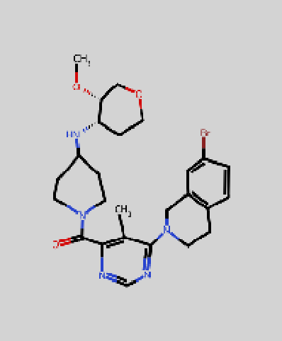 CO[C@@H]1COCC[C@@H]1NC1CCN(C(=O)c2ncnc(N3CCc4ccc(Br)cc4C3)c2C)CC1